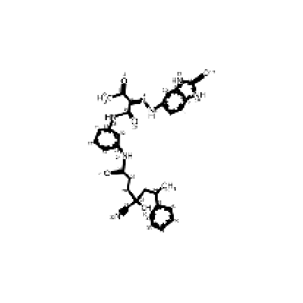 CC(=O)/C(=N/Nc1ccc2[nH]c(=O)[nH]c2c1)C(=O)Nc1cccc(NC(=O)CCC(C)(C#N)CC(C)c2ccccc2)c1